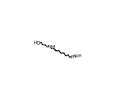 CCCCCCCCCCCCCCCCCCNCCCCO